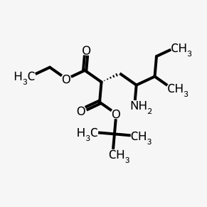 CCOC(=O)[C@H](CC(N)C(C)CC)C(=O)OC(C)(C)C